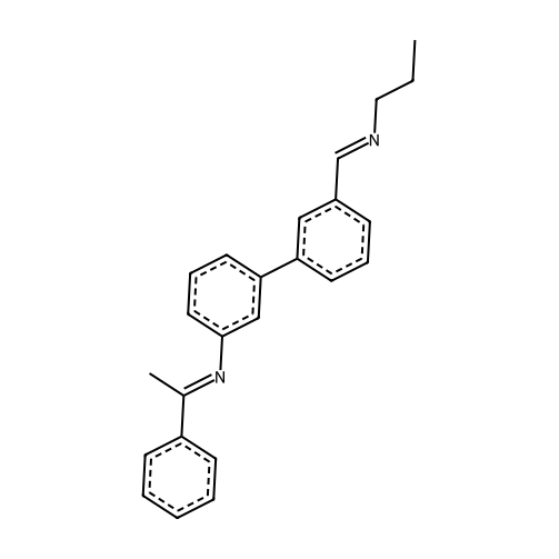 CCC/N=C/c1cccc(-c2cccc(/N=C(\C)c3ccccc3)c2)c1